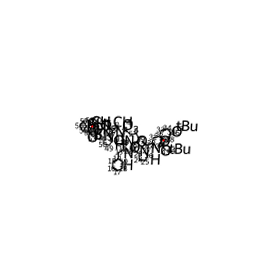 CC(NC(=O)C1CCCN1C(=O)C(Cc1ccccc1)NC(=O)C1CCCN1C(=O)C(Cc1ccc(OC(C)(C)C)cc1)NC(=O)OC(C)(C)C)C(=O)N1CCCC1B1OC2C3CC(C[C@]2(C)O1)C3(C)C